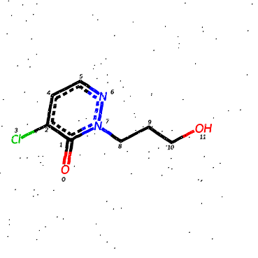 O=c1c(Cl)ccnn1CCCO